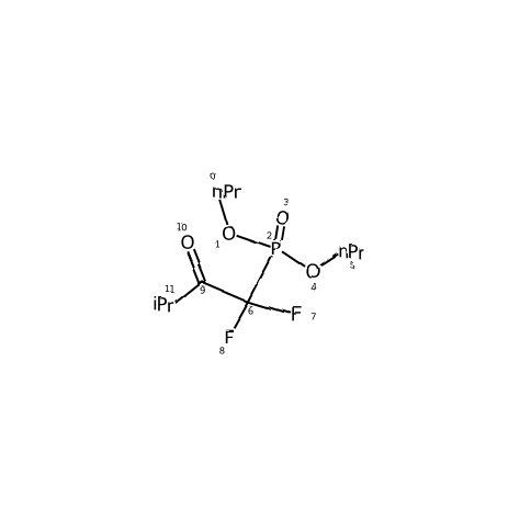 CCCOP(=O)(OCCC)C(F)(F)C(=O)C(C)C